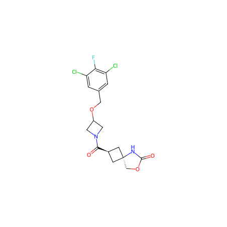 O=C1N[C@]2(CO1)C[C@H](C(=O)N1CC(OCc3cc(Cl)c(F)c(Cl)c3)C1)C2